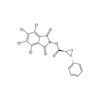 O=C(ON1C(=O)c2c(Cl)c(Cl)c(Cl)c(Cl)c2C1=O)[C@H]1C[C@@H]1c1ccccc1